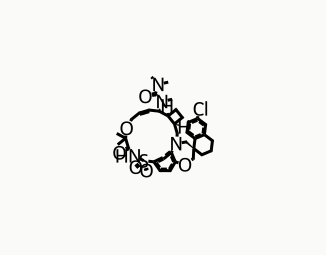 CN(C)C(=O)N(C)[C@H]1C=CCOC(C)(C)C(=O)NS(=O)(=O)c2ccc3c(c2)N(C[C@@H]2CC[C@H]21)C[C@@]1(CCCc2cc(Cl)ccc21)CO3